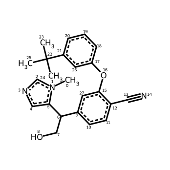 Cn1cncc1C(CO)c1ccc(C#N)c(Oc2cccc(C(C)(C)C)c2)c1